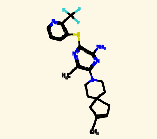 CC1=CCC2(CCN(c3nc(N)c(Sc4cccnc4C(F)(F)F)nc3C)CC2)C1